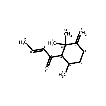 C=C1CCC(C)C(C(=O)/C=C/C)C1(C)C